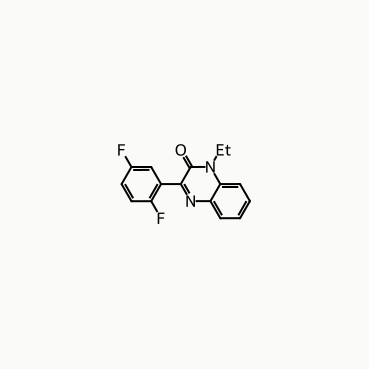 CCn1c(=O)c(-c2cc(F)ccc2F)nc2ccccc21